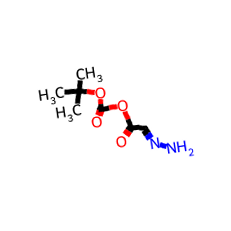 CC(C)(C)OC(=O)OC(=O)C=NN